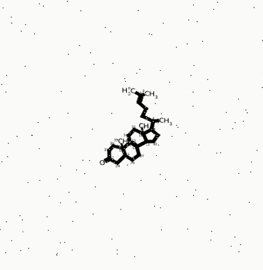 CC(C)=CCCC(C)C1CCC2C3=C(CC[C@@]21C)[C@@]1(C)CCC(=O)CC1CC3